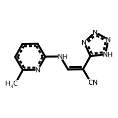 Cc1cccc(NC=C(C#N)c2nnn[nH]2)n1